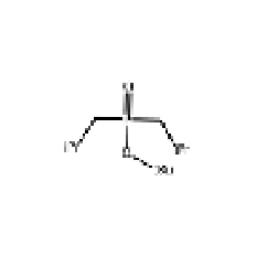 CC(C)CP(=O)(CC(C)C)OC(C)(C)C